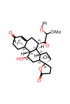 COC(OC(C)C)C(=O)[C@@H]1CC2=CC(=O)CC[C@]2(C)[C@@H]2[C@@H]1[C@@H]1CC[C@@]3(CCC(=O)O3)[C@@]1(C)C[C@H]2O